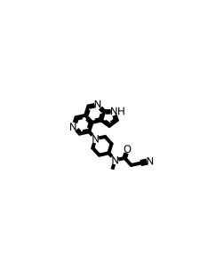 CN(C(=O)CC#N)C1CCN(c2cncc3cnc4[nH]ccc4c23)CC1